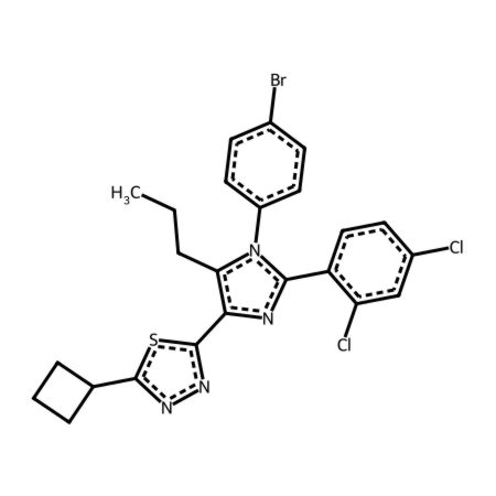 CCCc1c(-c2nnc(C3CCC3)s2)nc(-c2ccc(Cl)cc2Cl)n1-c1ccc(Br)cc1